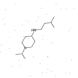 CC(C)CCNC1CCN(C(C)C)CC1